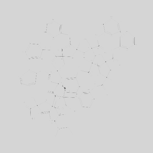 CCN(C)CC(O)COC(=O)C(C)(CC(C)(CC(C)(CC(C)(C)C(=O)O)C(=O)O)C(=O)O)CC(C)(CC(C)(CC(C)(CC(C)(CC(C)(CC(C)(CC(C)(CC)C(=O)Oc1ccccc1)C(=O)Oc1ccccc1)C(=O)Oc1ccccc1)C(=O)Oc1ccccc1)C(=O)Oc1ccccc1)C(=O)Oc1ccccc1)C(=O)Oc1ccccc1